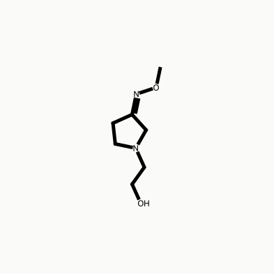 CON=C1CCN(CCO)C1